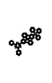 c1ccc(-c2nc(-c3ccccc3)nc(-c3ccc4c(c3)-c3ccccc3C43c4ccccc4-c4cc([Si](c5ccccc5)(c5ccccc5)c5ccccc5)ccc43)n2)cc1